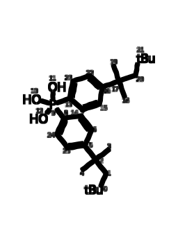 CC(C)(C)CC(C)(C)c1ccc(P(O)(O)(O)c2ccc(C(C)(C)CC(C)(C)C)cc2)cc1